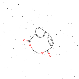 O=C1OCCOC(=O)c2ccc(cc2)-c2ccc1cc2